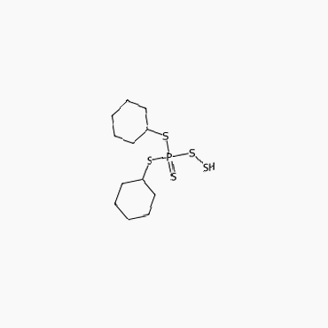 S=P(SS)(SC1CCCCC1)SC1CCCCC1